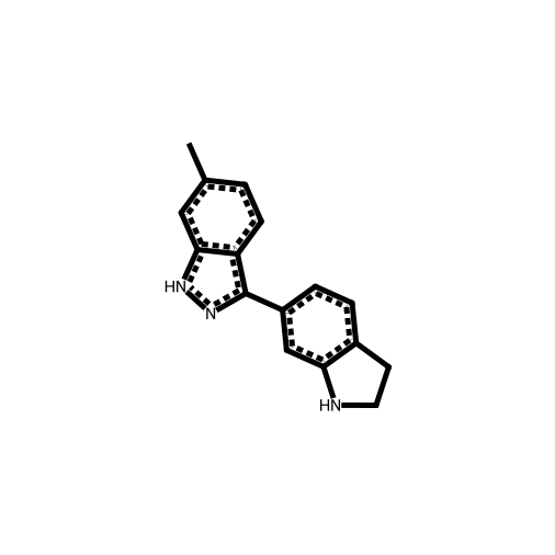 Cc1ccc2c(-c3ccc4c(c3)NCC4)n[nH]c2c1